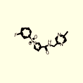 Cc1cnc(CNC(=O)c2ccn(S(=O)(=O)c3cccc(F)c3)c2)cn1